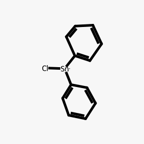 [Cl][Sn]([c]1ccccc1)[c]1ccccc1